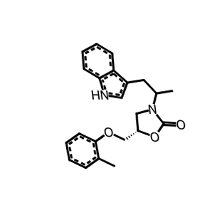 Cc1ccccc1OC[C@@H]1CN(C(C)Cc2c[nH]c3ccccc23)C(=O)O1